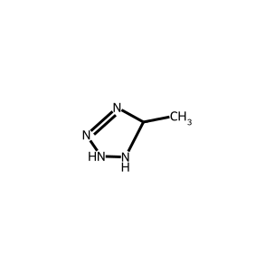 C[C]1N=NNN1